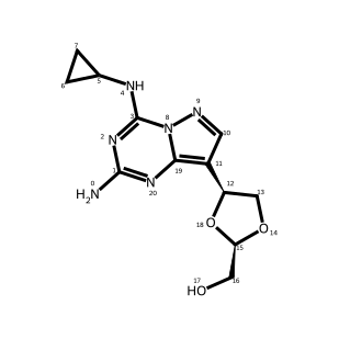 Nc1nc(NC2CC2)n2ncc([C@H]3CO[C@@H](CO)O3)c2n1